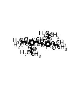 C=C(C)C(=O)Oc1ccc(OC(=O)/C=C(\C)c2ccc(OC(=O)C(=C)C)c(OC(=O)C(=C)C)c2)cc1OC(=O)C(=C)C